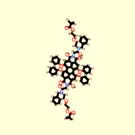 C=C(C)C(=O)OCCOCCN(Cc1ccccc1)C(=O)CN1C(=O)c2cc(Oc3ccccc3)c3c4c(Oc5ccccc5)cc5c6c(cc(Oc7ccccc7)c(c7c(Oc8ccccc8)cc(c2c37)C1=O)c64)C(=O)N(CC(=O)N(CCOCCOC(=O)C(=C)C)Cc1ccccc1)C5=O